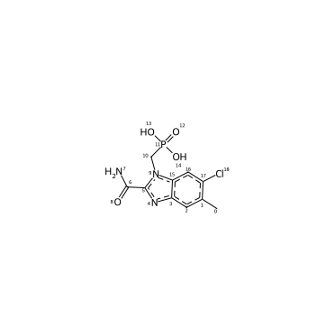 Cc1cc2nc(C(N)=O)n(CP(=O)(O)O)c2cc1Cl